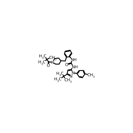 Cc1ccc(-n2nc(C(C)(C)C)cc2NC(=O)Nc2ccccc2CC2CCN(C(=O)C(C)(C)C)CC2)cc1